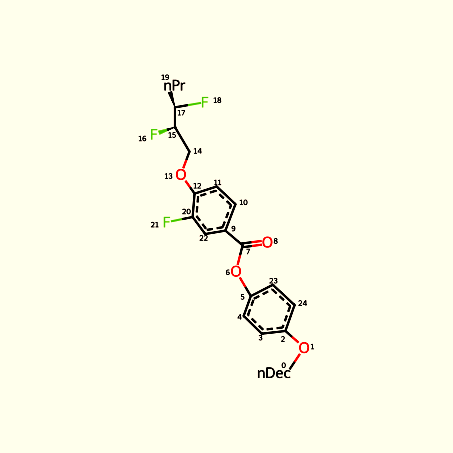 CCCCCCCCCCOc1ccc(OC(=O)c2ccc(OC[C@@H](F)[C@H](F)CCC)c(F)c2)cc1